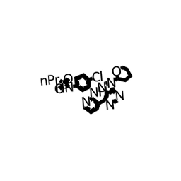 CCCS(=O)(=O)Nc1ccc(Cl)c(Nc2ncccc2-c2ncnc3c2ncn3C2CCCCO2)c1